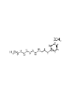 C=Cc1cccc(CCCCCCCCCCCC)c1